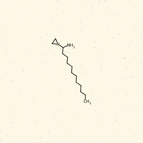 CCCCCCCCCCCC(N)N1CC1